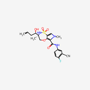 C=CC[C@@H](O)[C@]1(C)COc2c(cn(C)c2C(=O)Nc2ccc(F)c(C#N)c2)S(=O)(=O)N1